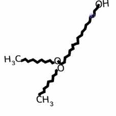 CCCCCCCCCCOC(CCCCCCCCCCCCC/C=C/CCO)OCCCCCCCCCC